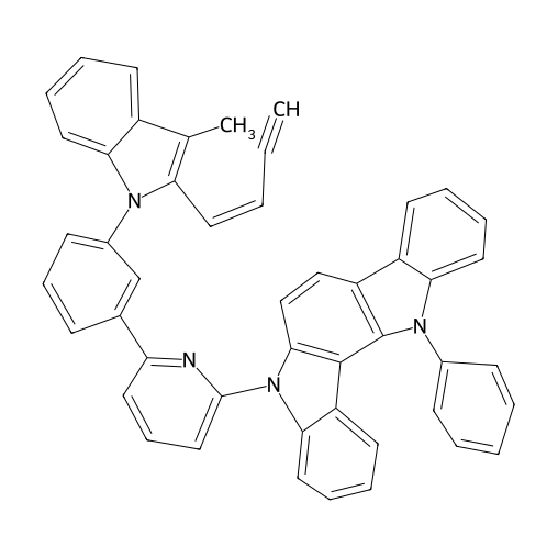 C#C/C=C\c1c(C)c2ccccc2n1-c1cccc(-c2cccc(-n3c4ccccc4c4c3ccc3c5ccccc5n(-c5ccccc5)c34)n2)c1